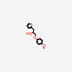 COc1ccc(OCC(O)Cc2cccs2)cc1